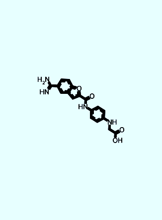 N=C(N)c1ccc2oc(C(=O)Nc3ccc(NCC(=O)O)cc3)cc2c1